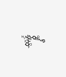 CC(Oc1nc(-c2ccc(C(=O)NCCN3CCCC3)cc2)cnc1N)c1c(F)ccc(F)c1Cl